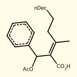 CCCCCCCCCCCCC(C)=C(C(=O)O)C(OC(C)=O)c1ccccc1